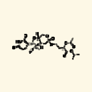 C#C[C@]1(C)[C@@H]2CP(=O)(OCC[C@@H](OC(C)=O)C(=O)OC(C)C)OC[C@H]2O[C@H]1n1ccc(=O)[nH]c1=O